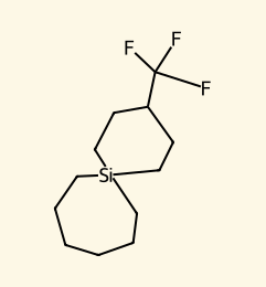 FC(F)(F)C1CC[Si]2(CCCCCC2)CC1